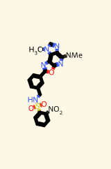 CNc1nc2oc(-c3cccc(CNS(=O)(=O)c4ccccc4[N+](=O)[O-])c3)nc2c2c1ncn2C